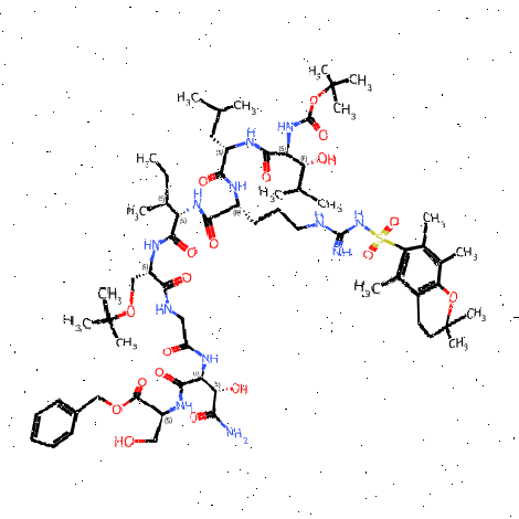 CC[C@H](C)[C@H](NC(=O)[C@@H](CCCNC(=N)NS(=O)(=O)c1c(C)c(C)c2c(c1C)CCC(C)(C)O2)NC(=O)[C@H](CC(C)C)NC(=O)[C@@H](NC(=O)OC(C)(C)C)[C@H](O)C(C)C)C(=O)N[C@@H](COC(C)(C)C)C(=O)NCC(=O)N[C@H](C(=O)N[C@@H](CO)C(=O)OCc1ccccc1)[C@H](O)C(N)=O